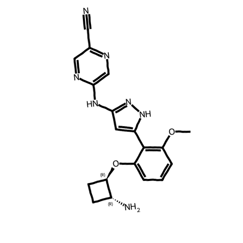 COc1cccc(O[C@@H]2CC[C@H]2N)c1-c1cc(Nc2cnc(C#N)cn2)n[nH]1